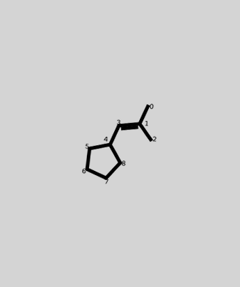 CC(C)=CC1CCCC1